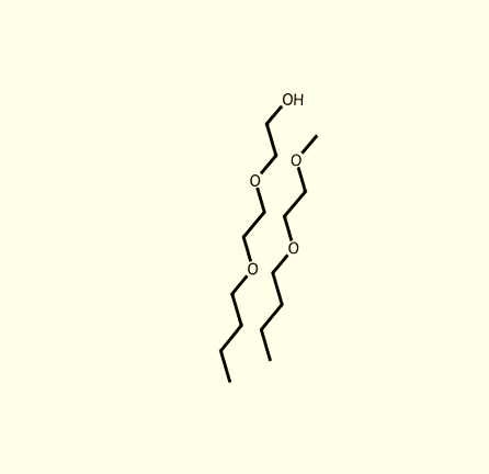 CCCCOCCOC.CCCCOCCOCCO